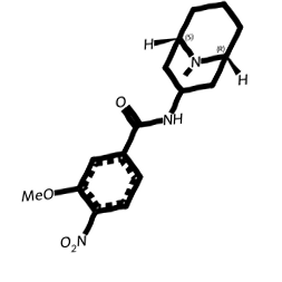 COc1cc(C(=O)NC2C[C@H]3CCC[C@@H](C2)N3C)ccc1[N+](=O)[O-]